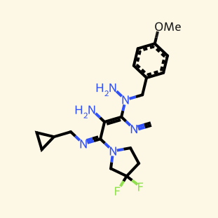 C=N/C(=C(N)\C(=N/CC1CC1)N1CCC(F)(F)C1)N(N)Cc1ccc(OC)cc1